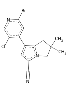 CC1(C)Cc2c(-c3cc(Br)ncc3Cl)cc(C#N)n2C1